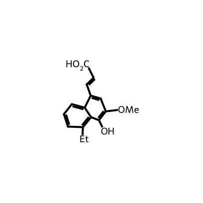 CCc1cccc2c(C=CC(=O)O)cc(OC)c(O)c12